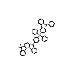 CC1(C)c2ccccc2-c2c1ccc1c2c2ccccc2n1-c1ccc([Si](c2ccccc2)(c2ccccc2)c2ccc3c(c2)c2ccccc2n3-c2ccccc2)cc1